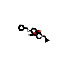 O=C1CC23CCN(CC4CC4)C(Cc4ccc(OCc5ccccc5)cc42)C3(O)CCN1